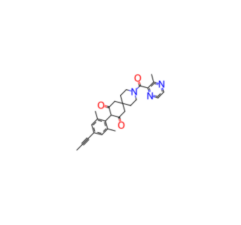 CC#Cc1cc(C)c(C2C(=O)CC3(CCN(C(=O)c4nccnc4C)CC3)CC2=O)c(C)c1